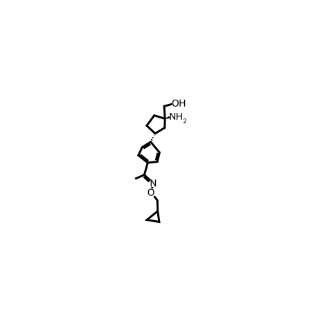 CC(=NOCC1CC1)c1ccc([C@@H]2CC[C@](N)(CO)C2)cc1